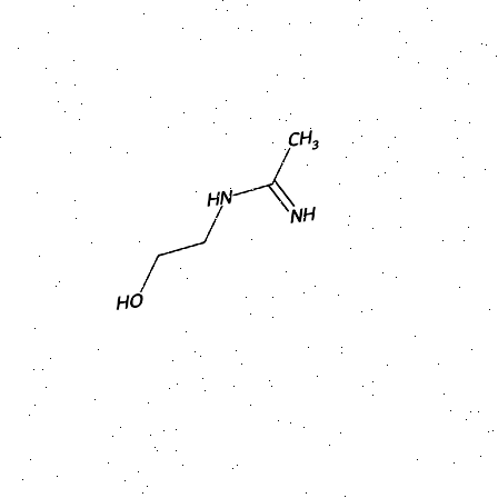 CC(=N)NCCO